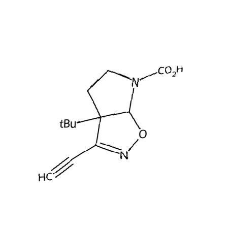 C#CC1=NOC2N(C(=O)O)CCC12C(C)(C)C